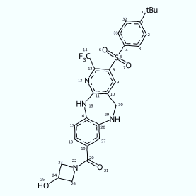 CC(C)(C)c1ccc(S(=O)(=O)c2cc3c(nc2C(F)(F)F)Nc2ccc(C(=O)N4CC(O)C4)cc2NC3)cc1